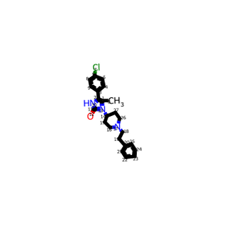 Cc1c(-c2ccc(Cl)cc2)[nH]c(=O)n1C1CCN(CCc2ccccc2)CC1